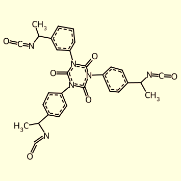 CC(N=C=O)c1ccc(-n2c(=O)n(-c3ccc(C(C)N=C=O)cc3)c(=O)n(-c3cccc(C(C)N=C=O)c3)c2=O)cc1